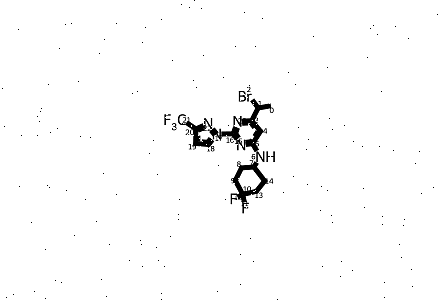 CC(Br)c1cc(NC2CCC(F)(F)CC2)nc(-n2ccc(C(F)(F)F)n2)n1